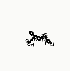 O=C(O)CCCCc1nc2ccc(C(=O)NC(c3ccc(Cl)cc3)C(F)(F)F)cc2cc1-c1ccccc1